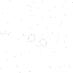 Nc1ccc(-c2cncc(OCC(F)(F)F)n2)cn1